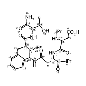 CC(C)N[C@@H](CC(=O)O)C(=O)N[C@@H](CC(=O)NCc1ccccc1C[C@H](NC(C)C)C(=O)N[C@H](C(N)=O)[C@@H](C)O)C(=O)C(C)C